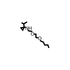 CCCCCOCCOCCNC1(C(C)C)CC1